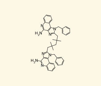 CC(C)(Cc1nc2c(N)nc3ccccc3c2n1Cc1ccccc1)CC(C)(C)Cc1nc2c(N)nc3ccccc3c2n1Cc1ccccc1